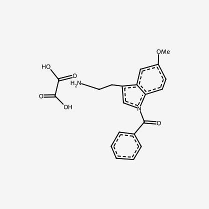 COc1ccc2c(c1)c(CCN)cn2C(=O)c1ccccc1.O=C(O)C(=O)O